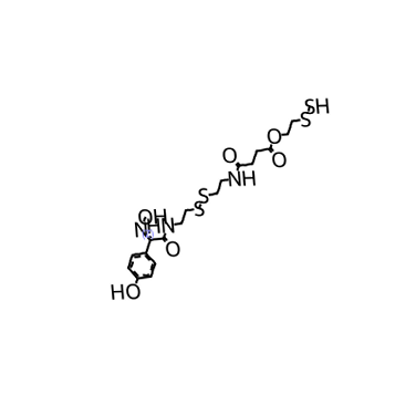 O=C(CCC(=O)OCCSS)NCCSSCCNC(=O)/C(=N\O)c1ccc(O)cc1